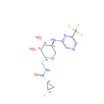 O=C(NC[C@H]1OC[C@H](Nc2cncc(C(F)(F)F)n2)[C@@H](O)[C@H]1O)[C@@H]1C[C@@H]1F